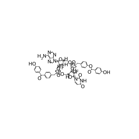 Nc1ncnc2c1ncn2[C@@H]1O[C@@H]2COP(=O)(SCc3ccc(OC(=O)c4ccc(O)cc4)cc3)O[C@H]3[C@@H](F)[C@H](n4ccc(=O)[nH]c4=O)O[C@@H]3COP(=O)(SCc3ccc(C(=O)c4ccc(O)cc4)cc3)O[C@@H]1[C@@H]2F